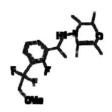 COCC(F)(F)c1cccc(C(C)NN2C(C)=C(C)OC(C)C2C)c1F